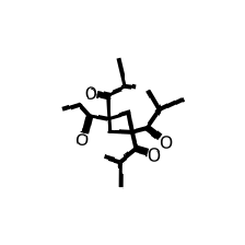 CCC(=O)C1(C(=O)C(C)C)CC(C(=O)C(C)C)(C(=O)C(C)C)C1